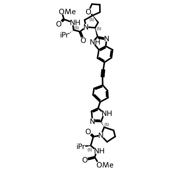 COC(=O)N[C@H](C(=O)N1CCC[C@H]1c1ncc(-c2ccc(C#Cc3ccc4nc([C@@H]5C[C@@]6(CCCO6)CN5C(=O)[C@@H](NC(=O)OC)C(C)C)[nH]c4c3)cc2)[nH]1)C(C)C